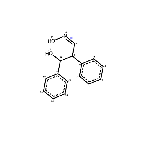 O/N=C\C(c1ccccc1)C(O)c1ccccc1